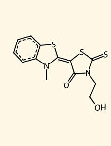 CN1/C(=C2/SC(=S)N(CCO)C2=O)Sc2ccccc21